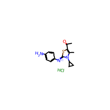 CC(=O)c1s/c(=N\c2ccc(N)cc2)n(C2CC2)c1C.Cl